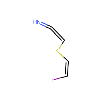 N=C=CS/C=C\I